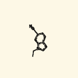 CCn1ccc2ccc(C#N)cc21